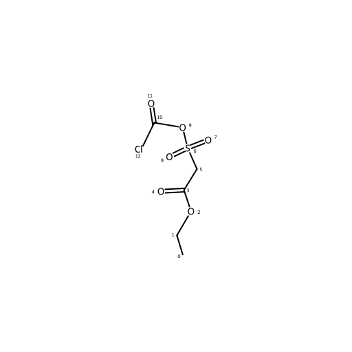 CCOC(=O)CS(=O)(=O)OC(=O)Cl